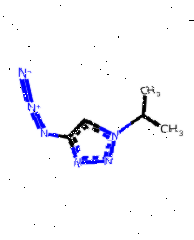 CC(C)n1cc(N=[N+]=[N-])nn1